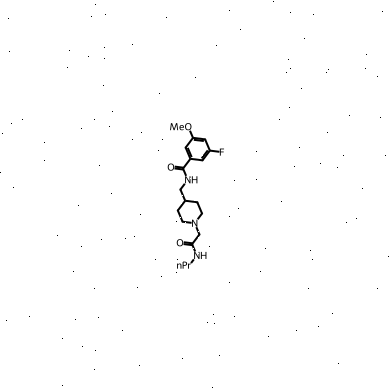 CCCNC(=O)CN1CCC(CNC(=O)c2cc(F)cc(OC)c2)CC1